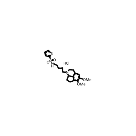 COc1cc2c3c(c1OC)CCC3N(CCCCNS(=O)(=O)c1cccs1)CC2.Cl